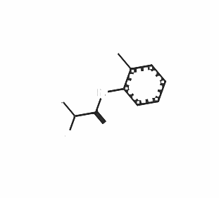 Cc1ccccc1NC(=O)C(Cl)C(F)(F)F